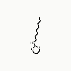 CCCCCCCCBP1OCCCO1